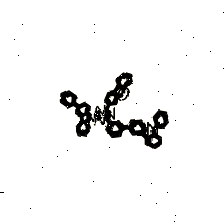 c1ccc(-c2ccc3c(c2)c2ccccc2n3-c2nc(-c3cccc(-c4ccc5c(c4)c4ccccc4n5-c4ccccc4)c3)nc(-c3ccc4c(c3)oc3ccccc34)n2)cc1